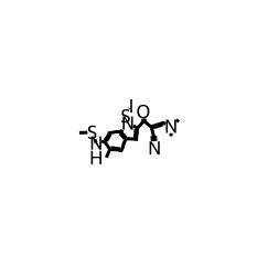 CSNc1cc2c(cc1C)cc(C(=O)/C(C#N)=C/N(C)C)n2SI